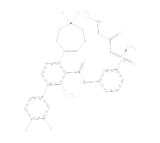 CNCC(=O)N=[S@](C)(=O)c1cccc(NC(=O)c2c(N3CCCC(F)(F)CC3)ncc(-c3ccc(F)c(F)c3)c2C)c1